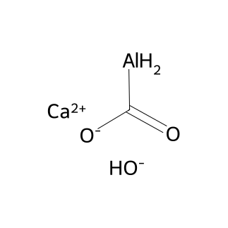 O=[C]([O-])[AlH2].[Ca+2].[OH-]